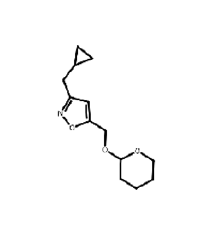 c1c(CC2CC2)noc1COC1CCCCO1